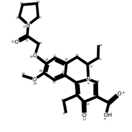 CCc1c2n(cc(C(=O)O)c1=O)C(CC)Cc1cc(OCC(=O)N3CCCC3)c(OC)cc1-2